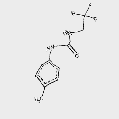 Cc1ccc(NC(=O)NCC(F)(F)F)cc1